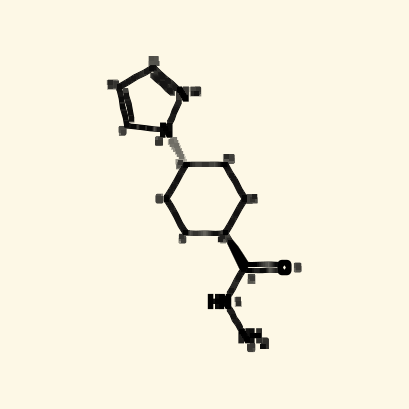 NNC(=O)[C@H]1CC[C@H](n2cccn2)CC1